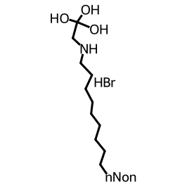 Br.CCCCCCCCCCCCCCCCCCNCC(O)(O)O